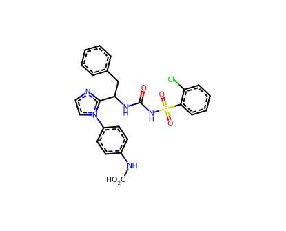 O=C(O)Nc1ccc(-n2ccnc2C(Cc2ccccc2)NC(=O)NS(=O)(=O)c2ccccc2Cl)cc1